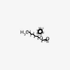 CCCCCCCOCC1CO1.c1ccccc1